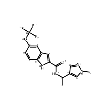 CC(NC(=O)c1cc2cc(OC(F)(F)F)ccc2[nH]1)c1cnn(C)c1